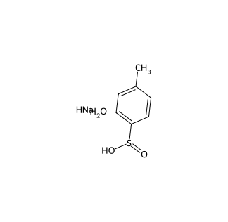 Cc1ccc(S(=O)O)cc1.O.[NaH]